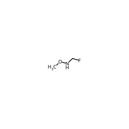 CONCF